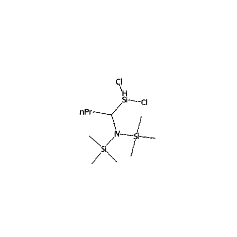 CCCC(N([Si](C)(C)C)[Si](C)(C)C)[SiH](Cl)Cl